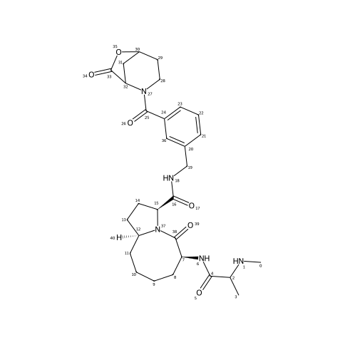 CNC(C)C(=O)N[C@H]1CCCC[C@H]2CC[C@@H](C(=O)NCc3cccc(C(=O)N4CCC5CC4C(=O)O5)c3)N2C1=O